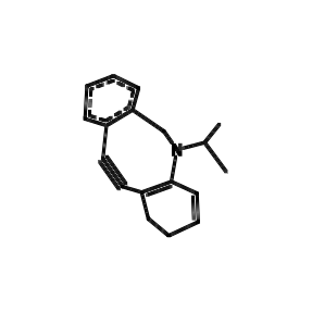 CC(C)N1Cc2ccccc2C#CC2=C1C=CCC2